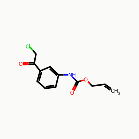 C=CCOC(=O)Nc1cccc(C(=O)CCl)c1